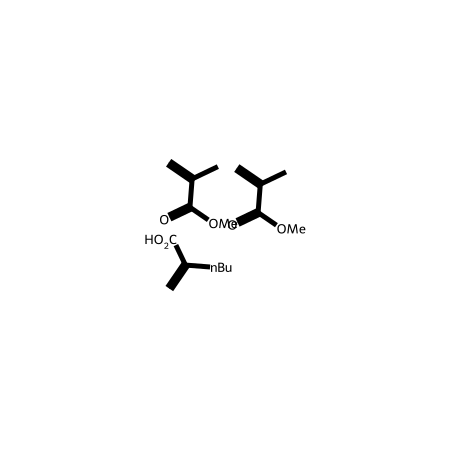 C=C(C)C(=O)OC.C=C(C)C(=O)OC.C=C(CCCC)C(=O)O